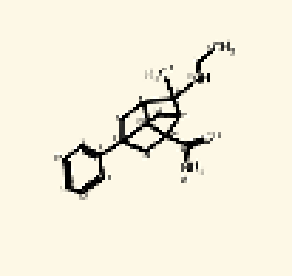 CCNC1(C)C2CC3(c4ccccc4)CC1C(C(N)=S)(C2)C3